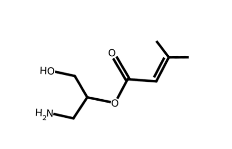 CC(C)=CC(=O)OC(CN)CO